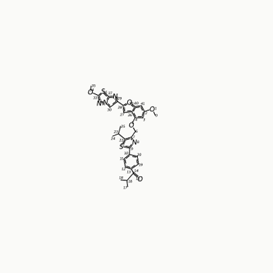 COc1cc(OCc2nc(-c3ccc(C(=O)C(C)C)cc3)sc2C(C)C)c2cc(-c3cn4nc(OC)sc4n3)oc2c1